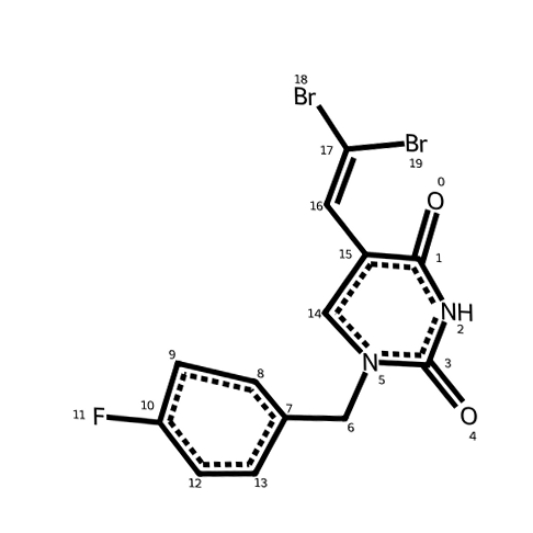 O=c1[nH]c(=O)n(Cc2ccc(F)cc2)cc1C=C(Br)Br